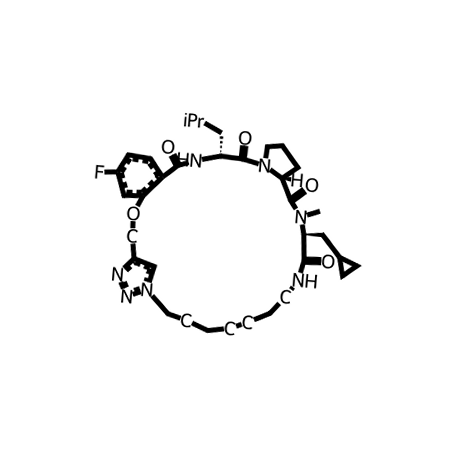 CC(C)C[C@H]1NC(=O)c2ccc(F)cc2OCc2cn(nn2)CCCCCCCNC(=O)[C@H](CC2CC2)N(C)C(=O)[C@H]2CCCN2C1=O